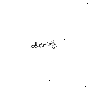 Cc1ccc2[nH]c(-c3ccc(N4CCN(C(=O)[C@@H]5CCC[C@H]5C(=O)O)CC4)nc3)nc2c1